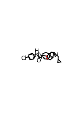 O=C(Nc1ccc(Cl)cc1)N1CCC23CCN(CC4CC4)C(Cc4ccc(O)cc42)C3(O)CC1